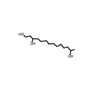 CC(O)CCCCCCCCCC(O)CCO